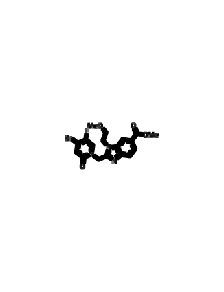 COCCn1c(Cn2cc(F)c(Br)cc2=O)nc2ccc(C(=O)OC)cc21